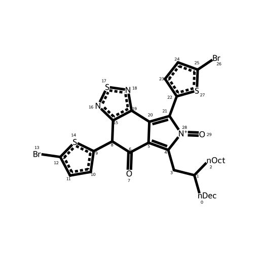 CCCCCCCCCCC(CCCCCCCC)CC1=C2C(=O)C(c3ccc(Br)s3)c3nsnc3C2=C(c2ccc(Br)s2)[N+]1=O